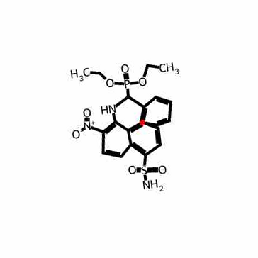 CCOP(=O)(OCC)C(Nc1c([N+](=O)[O-])ccc2c(S(N)(=O)=O)cccc12)c1ccccc1